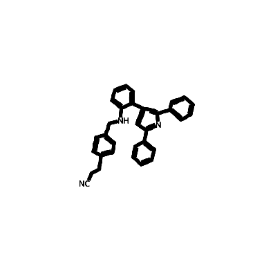 N#CCCc1ccc(CNc2ccccc2-c2cc(-c3ccccc3)nc(-c3ccccc3)c2)cc1